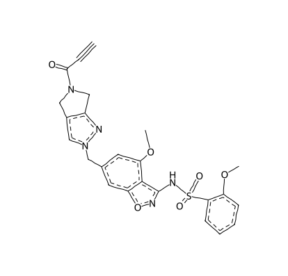 C#CC(=O)N1Cc2cn(Cc3cc(OC)c4c(NS(=O)(=O)c5ccccc5OC)noc4c3)nc2C1